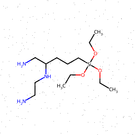 CCO[Si](CCCC(CN)NCCN)(OCC)OCC